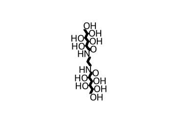 O=C(NCCCNC(=O)[C@H](O)[C@H](O)[C@@H](O)[C@H](O)CO)[C@H](O)[C@H](O)[C@@H](O)[C@H](O)CO